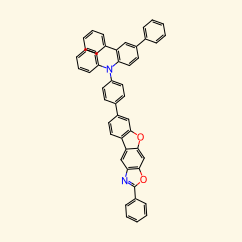 c1ccc(-c2ccc(N(c3ccccc3)c3ccc(-c4ccc5c(c4)oc4cc6oc(-c7ccccc7)nc6cc45)cc3)c(-c3ccccc3)c2)cc1